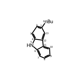 [CH2]CCCc1ccc2[nH]c3ccccc3c2c1